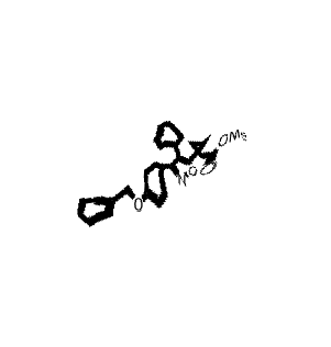 COC(=O)C1(c2onc(-c3ccc(OCc4ccccc4)cc3)c2-c2ccccc2)CC1